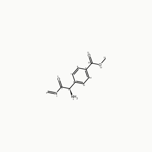 C=NC(=O)[C@H](N)c1ccc(C(=O)OC)cc1